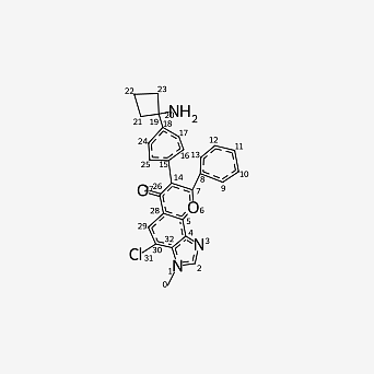 Cn1cnc2c3oc(-c4ccccc4)c(-c4ccc(C5(N)CCC5)cc4)c(=O)c3cc(Cl)c21